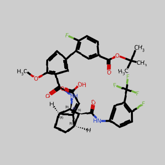 COc1ccc(-c2cc(C(=O)OC(C)(C)C)ccc2F)cc1C(=O)N[C@H]1[C@@H](C(=O)Nc2ccc(F)c(C(F)(F)F)c2)[C@H]2CC[C@@H]1/C2=C\C(=O)O